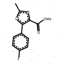 COC(=O)c1nc(C)sc1-c1ccc(F)cc1